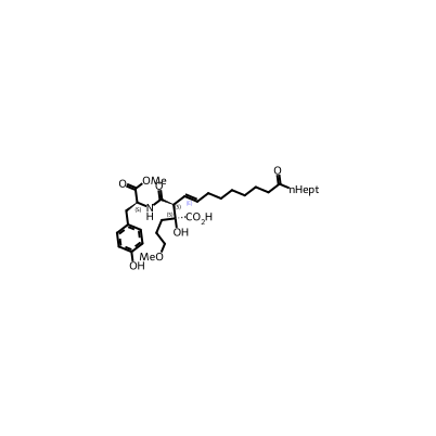 CCCCCCCC(=O)CCCCCC/C=C/[C@H](C(=O)N[C@@H](Cc1ccc(O)cc1)C(=O)OC)[C@@](O)(CCCOC)C(=O)O